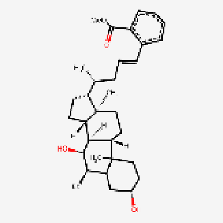 CC[C@@H]1C2C[C@H](O)CCC2(C)[C@H]2CC[C@]3(C)[C@@H]([C@H](C)C/C=C/c4ccccc4C(=O)OC)CC[C@H]3[C@@H]2[C@@H]1O